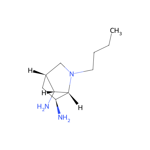 CCCCN1C[C@H]2C[C@H](N)[C@@H]1[C@@H]2N